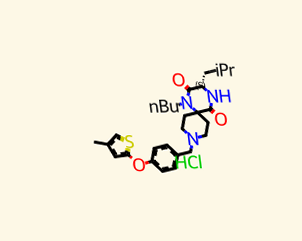 CCCCN1C(=O)[C@H](CC(C)C)NC(=O)C12CCN(Cc1ccc(Oc3cc(C)cs3)cc1)CC2.Cl